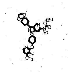 CCN(C(=O)OC(C)(C)C)c1cc2c(cn1)c(C1=CCC3(CC1)OCCO3)nn2C1CCC(Oc2nccc(C(F)(F)F)c2F)CC1